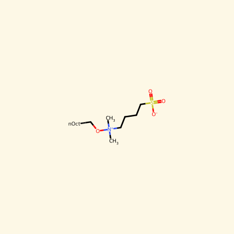 CCCCCCCCCO[N+](C)(C)CCCCS(=O)(=O)[O-]